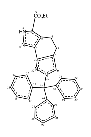 CCOC(=O)c1[nH]nc2c1CCc1cn(C(c3ccccc3)(c3ccccc3)c3ccccc3)nc1-2